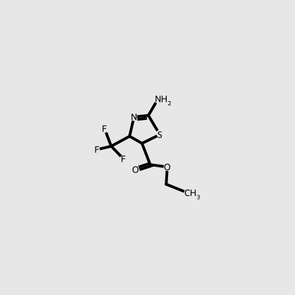 CCOC(=O)C1SC(N)=NC1C(F)(F)F